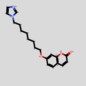 O=c1ccc2ccc(OCCCCCCCCn3ccnc3)cc2o1